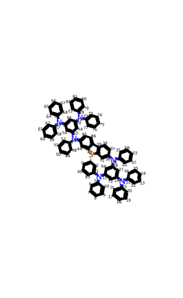 c1ccc(N(c2ccccc2)c2cc(N(c3ccccc3)c3ccccc3)cc(N(c3ccccc3)c3ccc4c(c3)sc3cc(N(c5ccccc5)c5cc(N(c6ccccc6)c6ccccc6)cc(N(c6ccccc6)c6ccccc6)c5)ccc34)c2)cc1